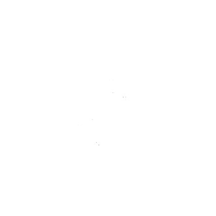 Cc1cn(C)c(=O)cc1C1(c2ccc(F)cc2)CNCCO1